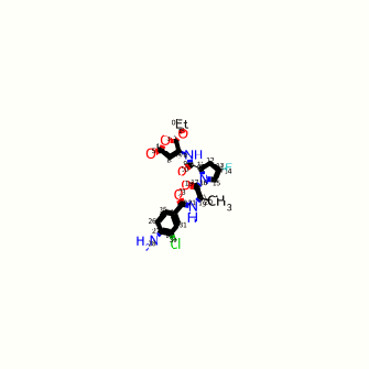 CCOC1OC(=O)C[C@@H]1NC(=O)[C@@H]1C[C@H](F)CN1C(=O)[C@H](C)NC(=O)c1ccc(N)c(Cl)c1